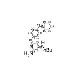 CCCCNc1cc(N)nc(Cc2ccc(CN3CCCCC3)cc2)c1